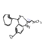 O=[N+]([O-])/C=C1/CN=C(c2ccccc2)c2cc(Cl)ccc2N1